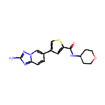 Nc1nc2ccc(-c3csc(C(=O)NC4CCOCC4)c3)cn2n1